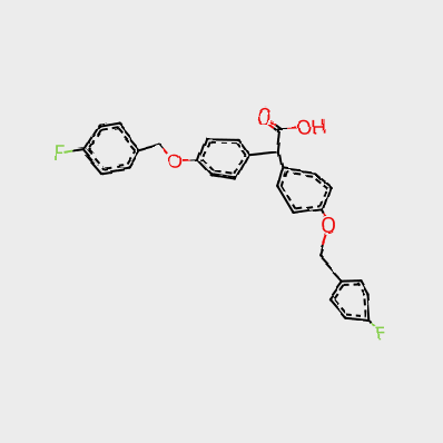 O=C(O)C(c1ccc(OCc2ccc(F)cc2)cc1)c1ccc(OCc2ccc(F)cc2)cc1